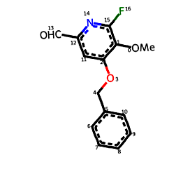 COc1c(OCc2ccccc2)cc(C=O)nc1F